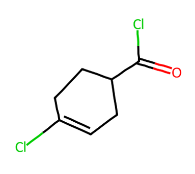 O=C(Cl)C1CC=C(Cl)CC1